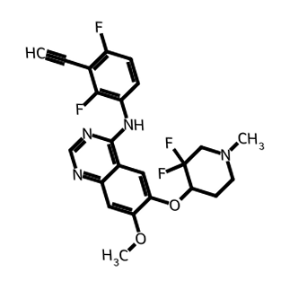 C#Cc1c(F)ccc(Nc2ncnc3cc(OC)c(OC4CCN(C)CC4(F)F)cc23)c1F